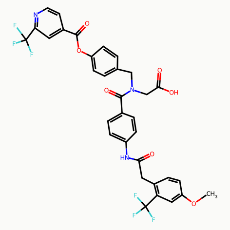 COc1ccc(CC(=O)Nc2ccc(C(=O)N(CC(=O)O)Cc3ccc(OC(=O)c4ccnc(C(F)(F)F)c4)cc3)cc2)c(C(F)(F)F)c1